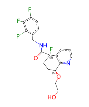 O=C(NCc1ccc(F)c(F)c1F)[C@]1(F)CC[C@H](OCCO)c2ncccc21